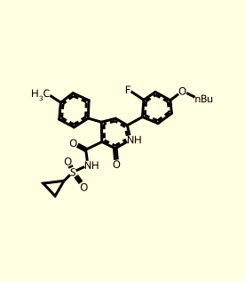 CCCCOc1ccc(-c2cc(-c3ccc(C)cc3)c(C(=O)NS(=O)(=O)C3CC3)c(=O)[nH]2)c(F)c1